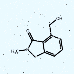 CN1Cc2cccc(CO)c2C1=O